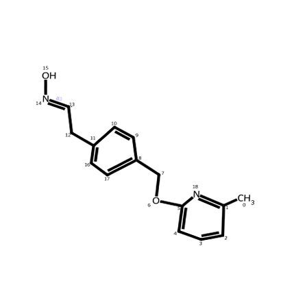 Cc1cccc(OCc2ccc(C/[C]=N/O)cc2)n1